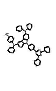 N#Cc1ccc(N(c2ccccc2)c2ccc3c(c2)c2cc(N(c4ccccc4)c4ccccc4)ccc2n3-c2ccc(-c3cc(-c4ccccc4)nc(-c4ccccc4)n3)cc2)cc1